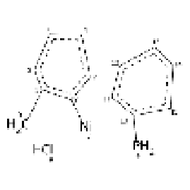 Cc1cccc[c]1[Ni].Cl.Pc1ccccc1